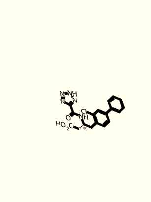 O=C(O)C[C@@H](Cc1ccc(-c2ccccc2)cc1Cl)NC(=O)c1nn[nH]n1